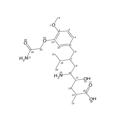 COc1ccc(CC(CC(N)C(O)CC(C)C(=O)O)C(C)C)cc1OCC(N)=O